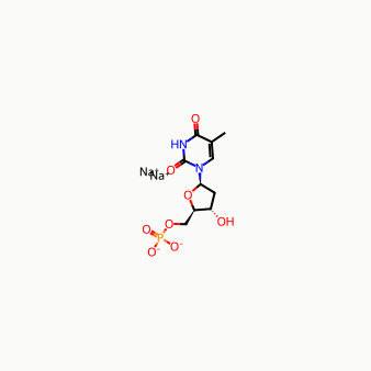 Cc1cn([C@H]2C[C@H](O)[C@@H](COP(=O)([O-])[O-])O2)c(=O)[nH]c1=O.[Na+].[Na+]